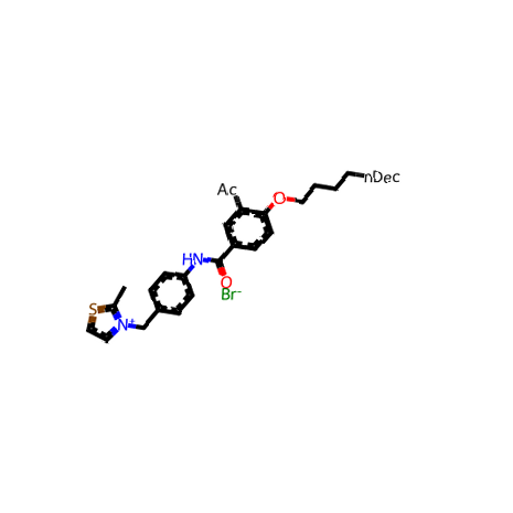 CCCCCCCCCCCCCCOc1ccc(C(=O)Nc2ccc(C[n+]3ccsc3C)cc2)cc1C(C)=O.[Br-]